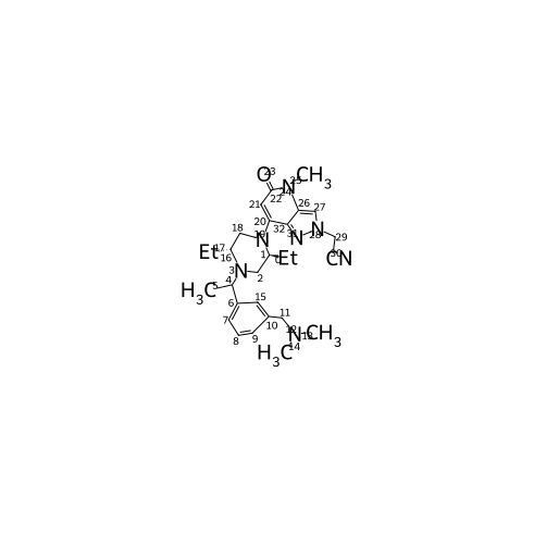 CC[C@H]1CN(C(C)c2cccc(CN(C)C)c2)[C@H](CC)CN1c1cc(=O)n(C)c2cn(CC#N)nc12